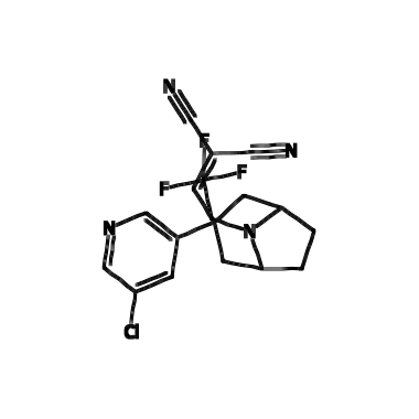 N#CC(C#N)=CC1(c2cncc(Cl)c2)CC2CCC(C1)N2CC(F)(F)F